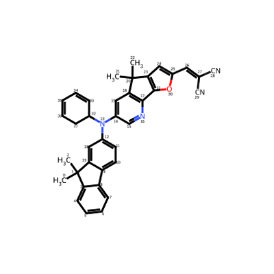 CC1(C)c2ccccc2-c2ccc(N(c3cnc4c(c3)C(C)(C)c3cc(C=C(C#N)C#N)oc3-4)C3C=CC=CC3)cc21